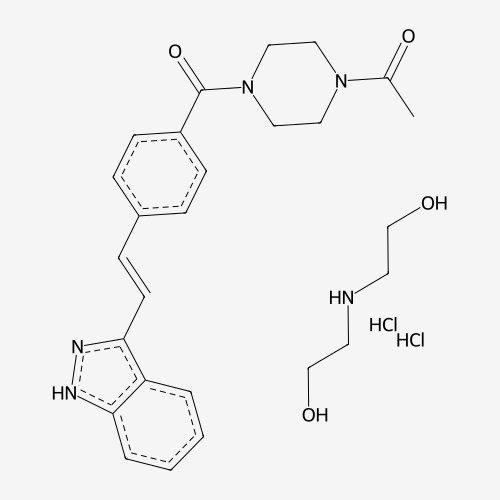 CC(=O)N1CCN(C(=O)c2ccc(C=Cc3n[nH]c4ccccc34)cc2)CC1.Cl.Cl.OCCNCCO